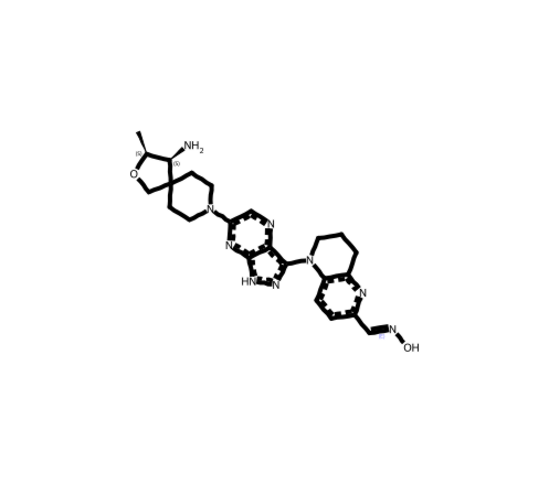 C[C@@H]1OCC2(CCN(c3cnc4c(N5CCCc6nc(/C=N/O)ccc65)n[nH]c4n3)CC2)[C@@H]1N